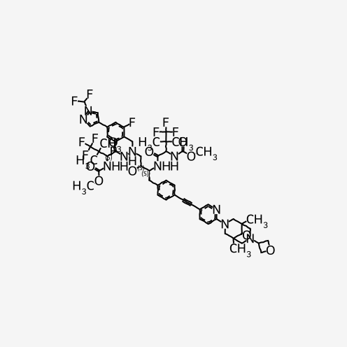 COC(=O)NC(C(=O)N[C@@H](Cc1ccc(C#Cc2ccc(N3CC4(C)CN(C5COC5)CC(C)(C3)C4=O)nc2)cc1)[C@@H](O)CN(Cc1c(F)cc(-c2cnn(C(F)F)c2)cc1F)NC(=O)[C@@H](NC(=O)OC)C(C)(C)C(F)(F)F)C(C)(C)C(F)(F)F